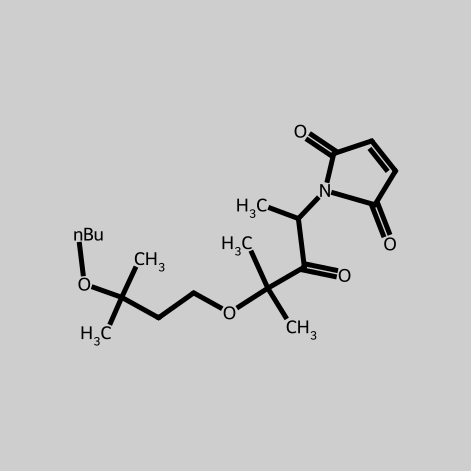 CCCCOC(C)(C)CCOC(C)(C)C(=O)C(C)N1C(=O)C=CC1=O